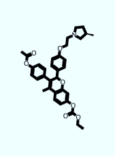 CCOC(=O)Oc1ccc2c(c1)OC(c1ccc(OCCN3CC[C@@H](C)C3)cc1)C(c1ccc(OC(C)=O)cc1)=C2C